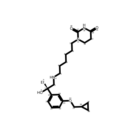 CC[C@@](O)(CNCCCCCCN1CCC(=O)NC1=O)c1cccc(OCC2CC2)c1